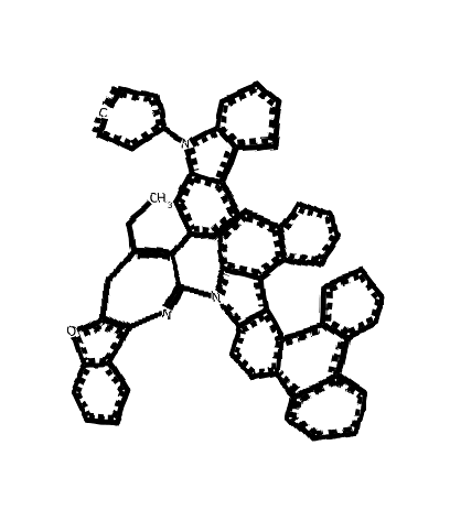 CCC1=C(c2ccc3c4ccccc4n(-c4ccccc4)c3c2)C(n2c3ccc4ccccc4c3c3c4c5ccccc5c5ccccc5c4ccc32)=Nc2c(oc3ccccc23)C1